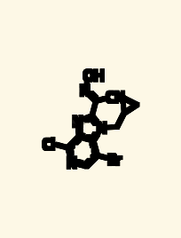 N#CC(=NO)c1nc2c(Cl)ncc(Br)c2n1CC1CC1